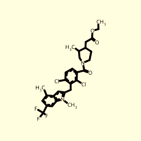 CCOC(=O)CC1CCN(C(=O)c2ccc(Cl)c(Cc3cc4c(C)cc(C(F)(F)F)cc4n3C)c2Cl)CC1C